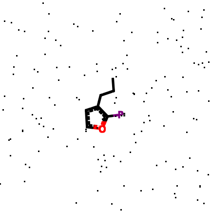 CCCc1ccoc1[P]